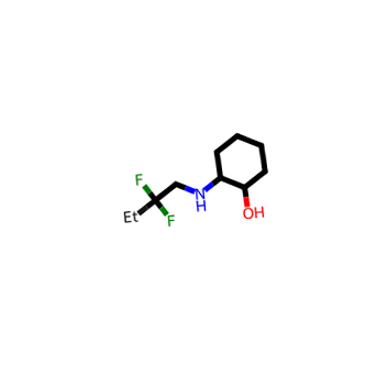 CCC(F)(F)CNC1CCCCC1O